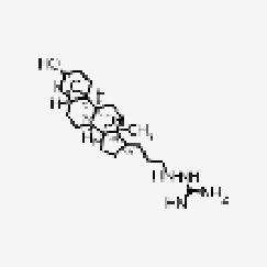 C[C@]12CC[C@H](O)C[C@H]1CC[C@@H]1[C@@H]2CC[C@]2(C)[C@@H](CCCNNC(=N)N)CC[C@]12O